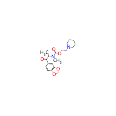 CC(C(=O)c1ccc2c(c1)OCO2)N(C)C(=O)OCCN1CCCCC1